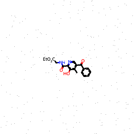 CCOC(=O)CNC(=O)c1ncc(C(=O)c2ccccc2)c(C)c1O